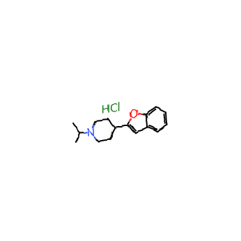 CC(C)N1CCC(c2cc3ccccc3o2)CC1.Cl